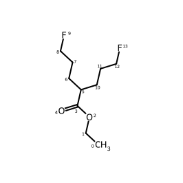 CCOC(=O)C(CCCF)CCCF